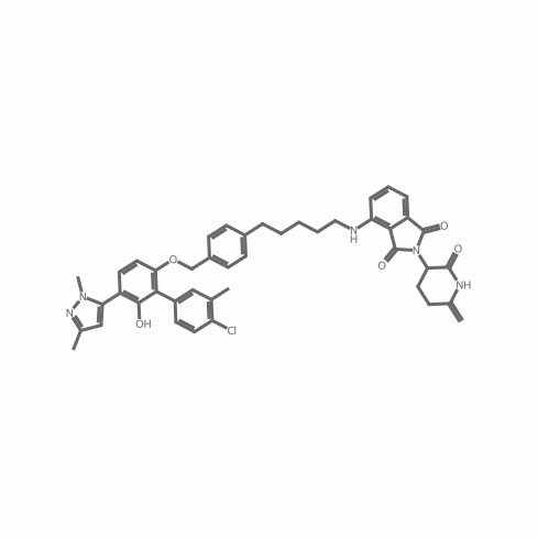 C=C1CCC(N2C(=O)c3cccc(NCCCCCc4ccc(COc5ccc(-c6cc(C)nn6C)c(O)c5-c5ccc(Cl)c(C)c5)cc4)c3C2=O)C(=O)N1